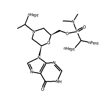 CCCCCCCC(C)N1C[C@@H](COP(=O)(C(CCCCC)CCCCCCC)N(C)C)O[C@@H](n2cnc3c(=O)[nH]cnc32)C1